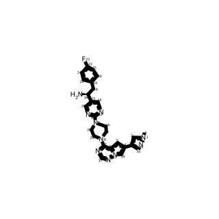 Cn1cc(-c2cc3c(N4CCN(c5ncc([C@@H](N)Cc6ccc(F)cc6)cn5)CC4)ncnn3c2)cn1